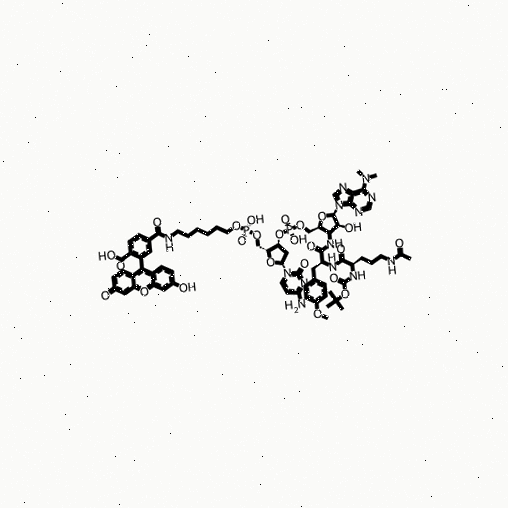 COc1ccc(C[C@H](NC(=O)[C@@H](CCCNC(C)=O)NC(=O)OC(C)(C)C)C(=O)NC2[C@@H](COP(=O)(O)O[C@@H]3C[C@H](n4ccc(N)nc4=O)O[C@@H]3COP(=O)(O)OCCCCCCNC(=O)c3ccc(C(=O)O)c(-c4c5ccc(=O)cc-5oc5cc(O)ccc45)c3)O[C@@H](n3cnc4c(N(C)C)ncnc43)[C@H]2O)cc1